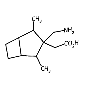 CC1C2CCC2C(C)C1(CN)CC(=O)O